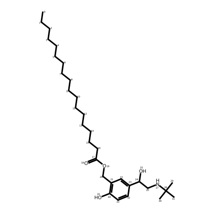 CCCCCCCCCCCCCCCCCC(=O)OCc1cc(C(O)CNC(C)(C)C)ccc1O